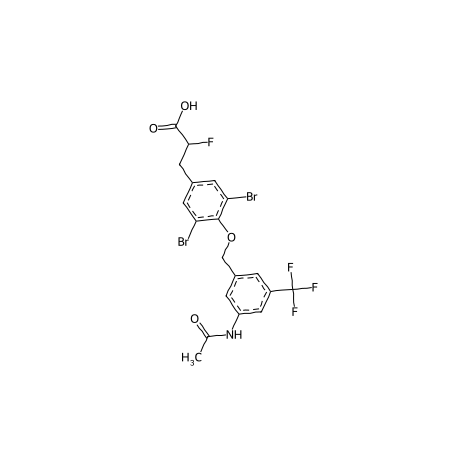 CC(=O)Nc1cc(COc2c(Br)cc(CC(F)C(=O)O)cc2Br)cc(C(F)(F)F)c1